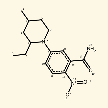 CCC1CC(C)CCN1c1ccc([N+](=O)[O-])c(C(N)=O)c1